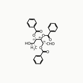 C[C@H](O)[C@H](OC(=O)c1ccccc1)[C@@H](OC(=O)c1ccccc1)[C@H](C=O)OC(=O)c1ccccc1